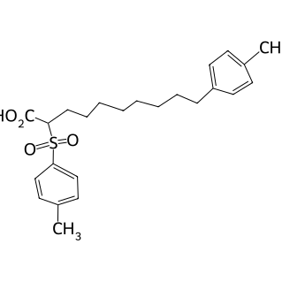 Cc1ccc(CCCCCCCCC(C(=O)O)S(=O)(=O)c2ccc(C)cc2)cc1